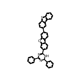 c1ccc(C2=NC(c3ccccc3)NC(c3ccc4c(c3)oc3cc(-c5ccc6sc7ccccc7c6c5)ccc34)=N2)cc1